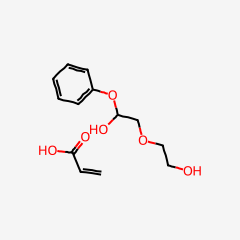 C=CC(=O)O.OCCOCC(O)Oc1ccccc1